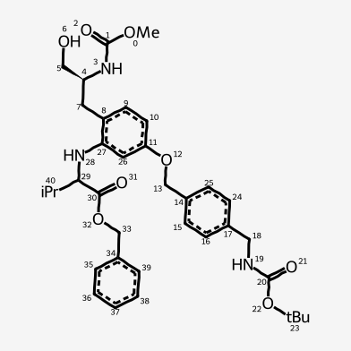 COC(=O)N[C@H](CO)Cc1ccc(OCc2ccc(CNC(=O)OC(C)(C)C)cc2)cc1NC(C(=O)OCc1ccccc1)C(C)C